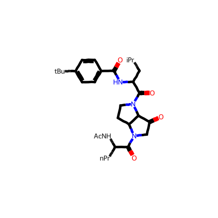 CCCC(NC(C)=O)C(=O)N1CC(=O)C2C1CCN2C(=O)C(CC(C)C)NC(=O)c1ccc(C(C)(C)C)cc1